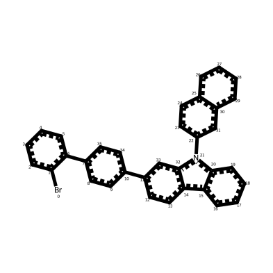 Brc1ccccc1-c1ccc(-c2ccc3c4ccccc4n(-c4ccc5ccccc5c4)c3c2)cc1